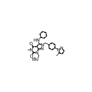 Cc1ccnn1-c1ccc(Cn2nc3c(c2Nc2ccccc2)c(=O)n(C)c(=O)n3CC(C)(C)C)cc1